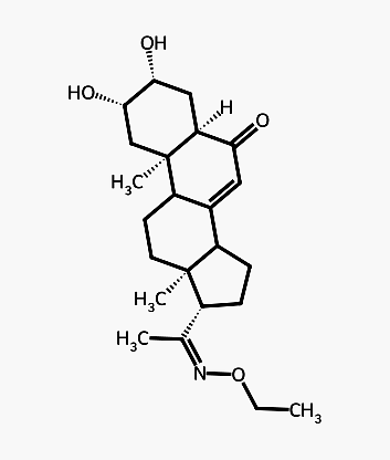 CCO/N=C(/C)[C@H]1CCC2C3=CC(=O)[C@@H]4C[C@@H](O)[C@@H](O)C[C@]4(C)C3CC[C@@]21C